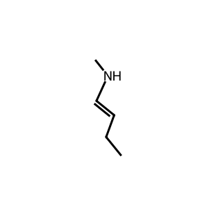 CCC=CNC